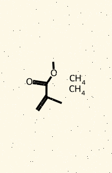 C.C.C=C(C)C(=O)OC